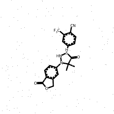 CC1(C)C(=O)[SH](c2ccc(C#N)c(C(F)(F)F)c2)NN1c1ccc2c(c1)COC2=O